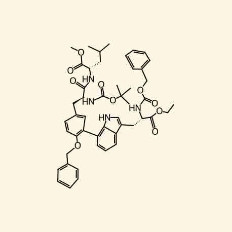 CCOC(=O)[C@H](Cc1c[nH]c2c(-c3cc(C[C@H](NC(=O)OC(C)(C)C)C(=O)N[C@@H](CC(C)C)C(=O)OC)ccc3OCc3ccccc3)cccc12)NC(=O)OCc1ccccc1